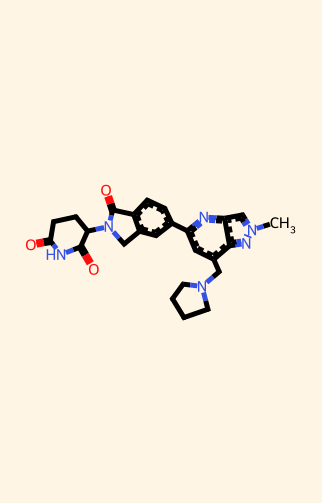 Cn1cc2nc(-c3ccc4c(c3)CN(C3CCC(=O)NC3=O)C4=O)cc(CN3CCCC3)c2n1